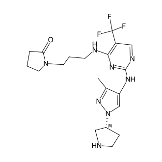 Cc1nn([C@@H]2CCNC2)cc1Nc1ncc(C(F)(F)F)c(NCCCN2CCCC2=O)n1